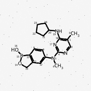 Cc1cnc(N(C)c2ccc3c(c2)COB3O)nc1NC1CCCC1